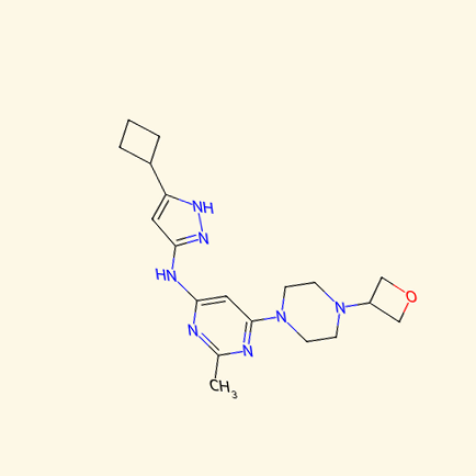 Cc1nc(Nc2cc(C3CCC3)[nH]n2)cc(N2CCN(C3COC3)CC2)n1